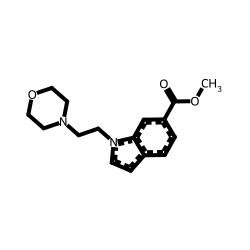 COC(=O)c1ccc2ccn(CCN3CCOCC3)c2c1